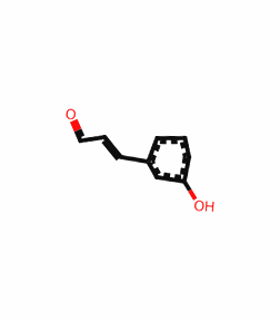 O=CC=Cc1cccc(O)c1